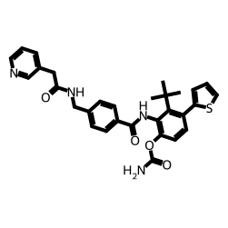 CC(C)(C)c1c(-c2cccs2)ccc(OC(N)=O)c1NC(=O)c1ccc(CNC(=O)Cc2cccnc2)cc1